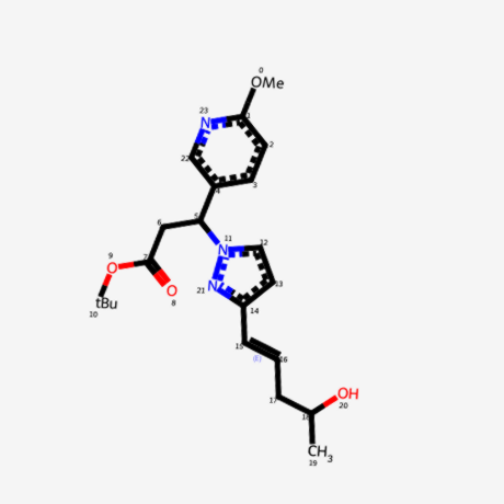 COc1ccc(C(CC(=O)OC(C)(C)C)n2ccc(/C=C/CC(C)O)n2)cn1